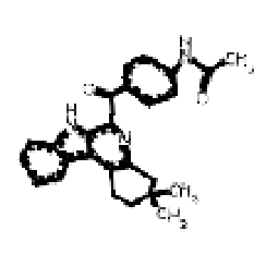 CC(=O)Nc1ccc(C(=O)c2nc3c(c4c2[nH]c2ccccc24)CCC(C)(C)C3)cc1